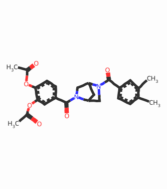 CC(=O)Oc1ccc(C(=O)N2CC3CC2CN3C(=O)c2ccc(C)c(C)c2)cc1OC(C)=O